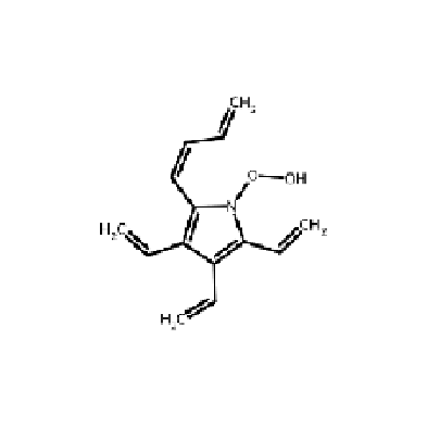 C=C/C=C\c1c(C=C)c(C=C)c(C=C)n1OO